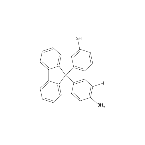 Bc1ccc(C2(c3cccc(S)c3)c3ccccc3-c3ccccc32)cc1I